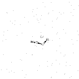 CCOOC.[Cu]